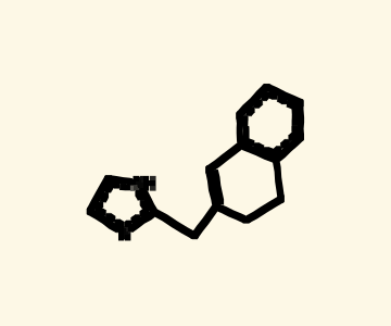 C1=C(Cc2ncc[nH]2)CCc2ccccc21